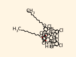 CCCCCCCCCCCCOc1cc(Cl)c(Nc2[nH]n(-c3c(Cl)cc(Cl)cc3Cl)c(=O)c2C(c2c(Nc3cc(Cl)c(OCCCCCCCCCCCC)cc3Cl)[nH]n(-c3c(Cl)cc(Cl)cc3Cl)c2=O)C2CCCCC2)cc1Cl